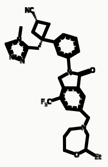 CCC1CN(Cc2cc3c(c(C(F)(F)F)c2)CN(c2cccc([C@]4(Cc5nncn5C)C[C@@H](C#N)C4)c2)C3=O)CCCO1